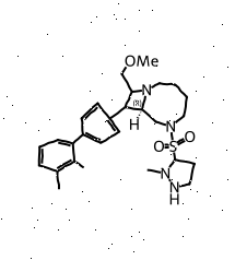 COCC1C(c2ccc(-c3cccc(C)c3C)cc2)[C@@H]2CN(S(=O)(=O)C3CCNN3C)CCCCN12